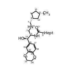 CCCCCCCC(=O)N[C@H](CNC[C@@H]1CC[C@H](C)C1)[C@H](O)c1ccc2c(c1)OCCO2